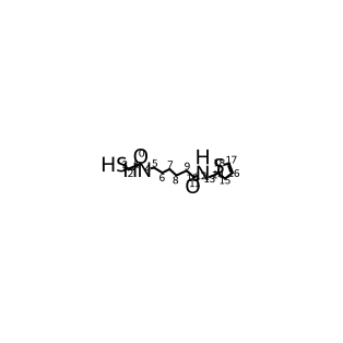 O=C(CS)NCCCCCC(=O)NCC1CC=CS1